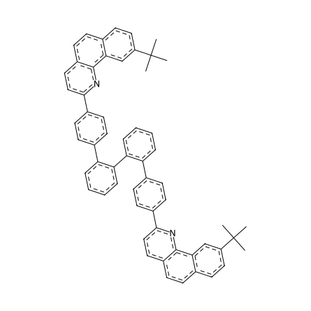 CC(C)(C)c1ccc2ccc3ccc(-c4ccc(-c5ccccc5-c5ccccc5-c5ccc(-c6ccc7ccc8ccc(C(C)(C)C)cc8c7n6)cc5)cc4)nc3c2c1